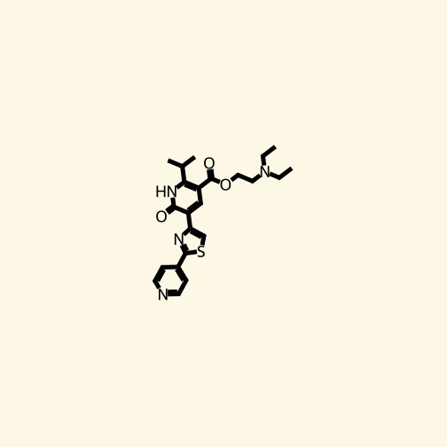 CCN(CC)CCOC(=O)c1cc(-c2csc(-c3ccncc3)n2)c(=O)[nH]c1C(C)C